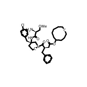 COC[C@H](N)C(=O)N[C@@]1(Cc2ccc(Cl)cc2)CCCN(C(=O)[C@@H](CC(=O)OC2CCCCCCCCC2)Cc2ccccc2)C1